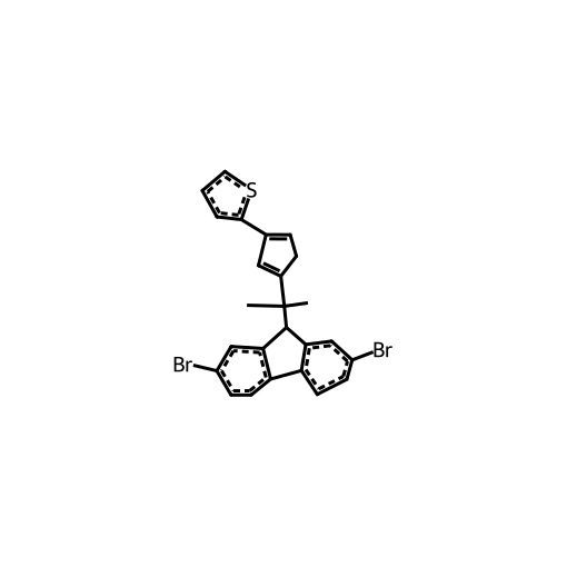 CC(C)(C1=CC(c2cccs2)=CC1)C1c2cc(Br)ccc2-c2ccc(Br)cc21